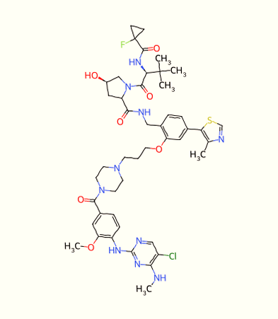 CNc1nc(Nc2ccc(C(=O)N3CCN(CCCOc4cc(-c5scnc5C)ccc4CNC(=O)C4C[C@@H](O)CN4C(=O)[C@@H](NC(=O)C4(F)CC4)C(C)(C)C)CC3)cc2OC)ncc1Cl